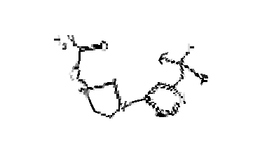 NC(=O)O[C@@H]1CCN(c2ccnc(C(F)(F)F)c2)C1